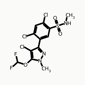 CNS(=O)(=O)c1cc(-c2nn(C)c(OC(F)F)c2Cl)c(Cl)cc1Cl